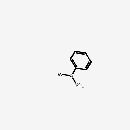 CCN(c1ccccc1)[N+](=O)[O-]